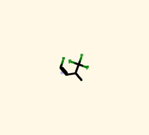 CC(/C=C\F)C(F)(F)F